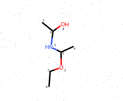 CCOC(C)NC(C)O